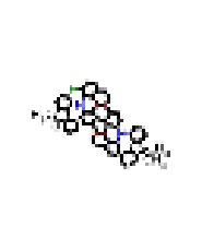 CC1(C)c2ccccc2-c2c(N(c3cccc4ccccc34)c3ccc4ccc5c(N(c6cccc7c6-c6ccccc6C7(C)C)c6c(F)ccc7ccccc67)ccc6ccc3c4c65)cccc21